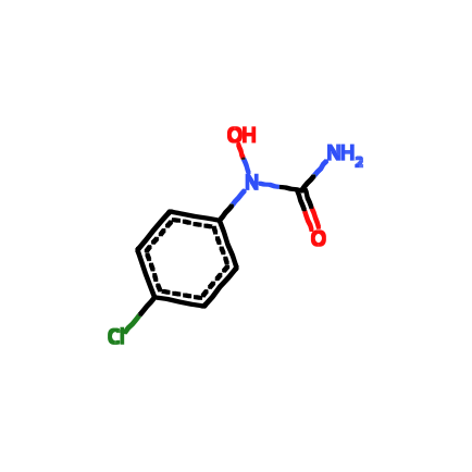 NC(=O)N(O)c1ccc(Cl)cc1